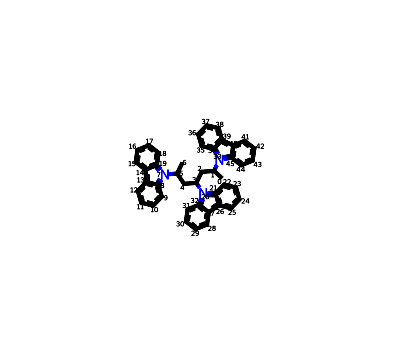 CC(CC(CC(C)n1c2ccccc2c2ccccc21)n1c2ccccc2c2ccccc21)n1c2ccccc2c2ccccc21